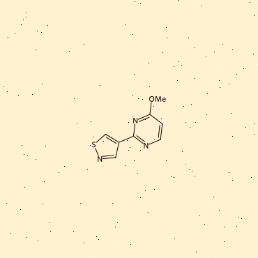 COc1ccnc(-c2cnsc2)n1